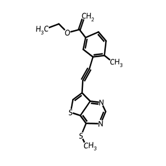 C=C(OCC)c1ccc(C)c(C#Cc2csc3c(SC)ncnc23)c1